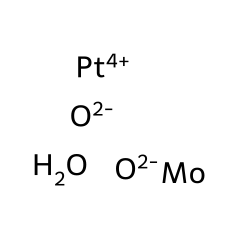 O.[Mo].[O-2].[O-2].[Pt+4]